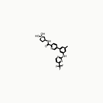 Cc1cc(Nc2nccc(C(F)(F)F)n2)cc(-c2ccc(C(=O)NC3CCS(O)(O)C3)nc2)c1